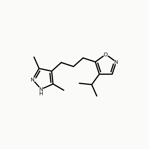 Cc1n[nH]c(C)c1CCCc1oncc1C(C)C